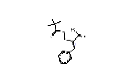 CC(C)(C)C(=O)SC/C(=C\c1ccccc1)C(=O)O